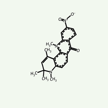 CC1=CC(C)(C)N(C)c2ccc3c(=O)c4ccc([N+](=O)[O-])cc4n(C)c3c21